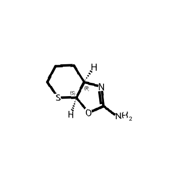 NC1=N[C@@H]2CCCS[C@@H]2O1